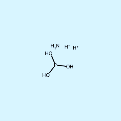 N.OP(O)O.[H+].[H+]